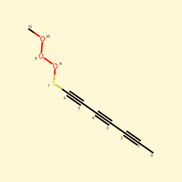 CC#CC#CC#CSOOOC